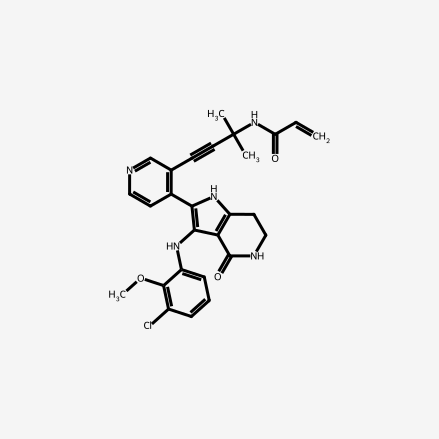 C=CC(=O)NC(C)(C)C#Cc1cnccc1-c1[nH]c2c(c1Nc1cccc(Cl)c1OC)C(=O)NCC2